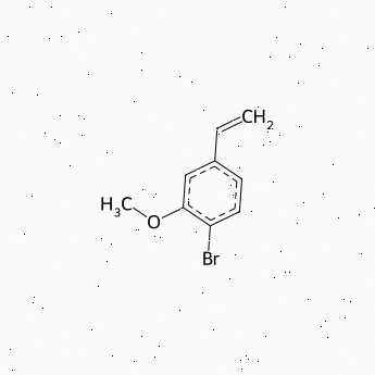 C=Cc1ccc(Br)c(OC)c1